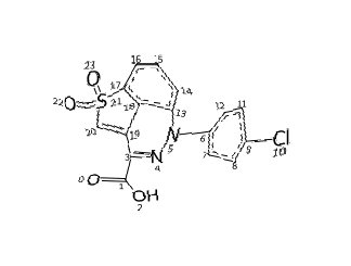 O=C(O)C1=NN(c2ccc(Cl)cc2)c2cccc3c2C1=CS3(=O)=O